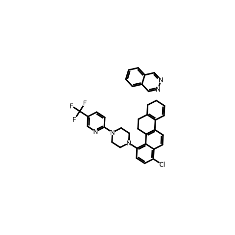 FC(F)(F)c1ccc(N2CCN(c3ccc(Cl)c4ccc5c(c34)CCC3=C5C=CCC3)CC2)nc1.c1ccc2cnncc2c1